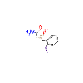 NC(=O)C[S+]([O-])Cc1ccccc1I